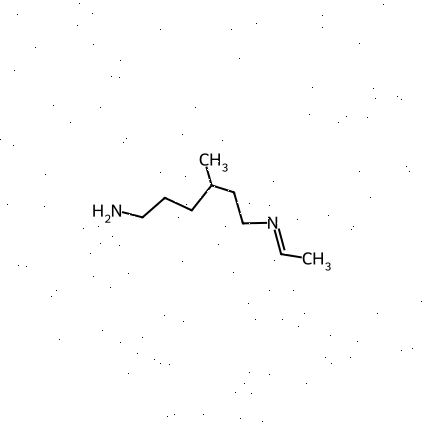 C/C=N/CCC(C)CCCN